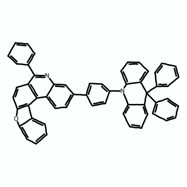 c1ccc(-c2nc3cc(-c4ccc(N5c6ccccc6C(c6ccccc6)(c6ccccc6)c6ccccc65)cc4)ccc3c3c2ccc2oc4ccccc4c23)cc1